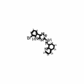 Brc1cccc2c1[nH]c1nc(N/N=C3\CCCc4cccnc43)nnc12